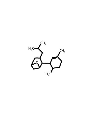 CC1=CC(C2C(CC(C)C)CC3CC2O3)C(C)CC1